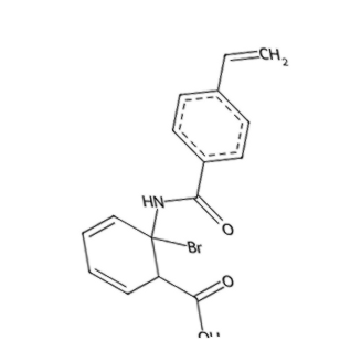 C=Cc1ccc(C(=O)NC2(Br)C=CC=CC2C(=O)O)cc1